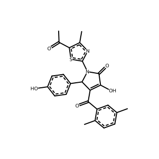 CC(=O)c1sc(N2C(=O)C(O)=C(C(=O)c3cc(C)ccc3C)C2c2ccc(O)cc2)nc1C